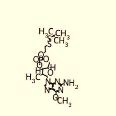 COc1nc(N)nc2c1ncn2[C@@H]1O[C@@H]2CO[P@@](=O)(OCCSSC(C)(C)C)O[C@H]2[C@@H]1C